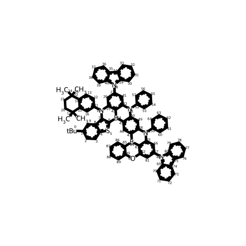 CC(C)(C)c1ccc2sc3c(c2c1)N(c1ccc2c(c1)C(C)(C)CCC2(C)C)c1cc(-n2c4ccccc4c4ccccc42)cc2c1B3c1cc3c(cc1N2c1ccccc1)N(c1ccccc1)c1cc(-n2c4ccccc4c4ccccc42)cc2c1B3c1ccccc1O2